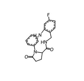 Nc1cc(F)ccc1CNC(=O)C1CCC(=O)N1c1ccccc1